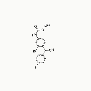 CC(C)(C)OC(=O)Nc1ccc(C(O)c2ccc(F)cc2)c(Br)c1